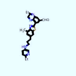 CCc1ccc(NCCCc2cc(C)c3nc(-c4cc(C=O)cc5nc(CC)cnc45)sc3c2)cn1